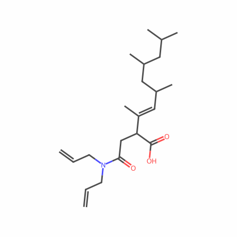 C=CCN(CC=C)C(=O)CC(C(=O)O)/C(C)=C/C(C)CC(C)CC(C)C